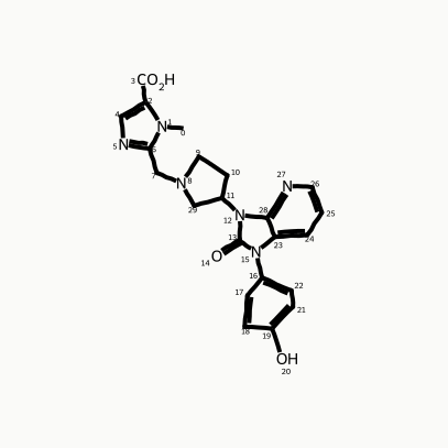 Cn1c(C(=O)O)cnc1CN1CCC(n2c(=O)n(-c3ccc(O)cc3)c3cccnc32)C1